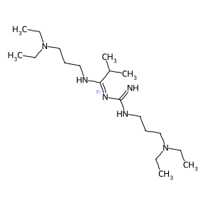 CCN(CC)CCCNC(=N)/N=C(/NCCCN(CC)CC)C(C)C